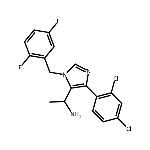 CC(N)c1c(-c2ccc(Cl)cc2Cl)ncn1Cc1cc(F)ccc1F